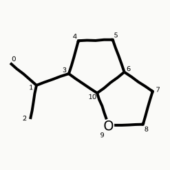 CC(C)C1CCC2CCOC21